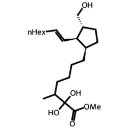 CCCCCCC=C[C@@H]1[C@H](CCCCC(C)C(O)(O)C(=O)OC)CC[C@H]1CO